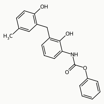 Cc1ccc(O)c(Cc2cccc(NC(=O)Oc3ccccc3)c2O)c1